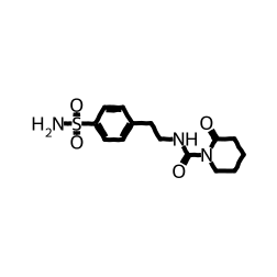 NS(=O)(=O)c1ccc(CCNC(=O)N2CCCCC2=O)cc1